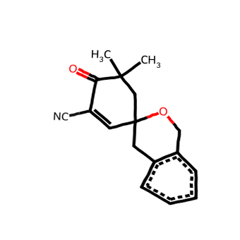 CC1(C)CC2(C=C(C#N)C1=O)Cc1ccccc1CO2